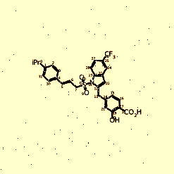 CC(C)c1ccc(C=CCS(=O)(=O)n2c(Cc3ccc(C(=O)O)c(O)c3)cc3cc(C(F)(F)F)ccc32)cc1